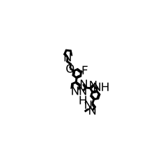 Cc1ncc(-c2ccc3[nH]nc(-c4nc5c(-c6cc(F)cc(OCCN7CCCC7)c6)ccnc5[nH]4)c3c2)n1C